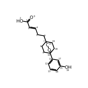 O=C(O)C=CCCC12CCC(c3cccc(O)c3)(CC1)OC2